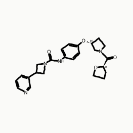 O=C(Nc1ccc(O[C@@H]2CCN(C(=O)[C@H]3CCCO3)C2)cc1)N1CC(c2cccnc2)C1